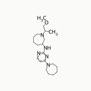 COCC(C)N1CCCCC(Nc2nccc(N3CCCCCC3)n2)C1